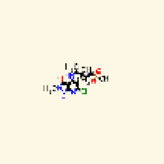 C[C@@H](Nc1cc(Cl)nc2[nH]n(C)c(=O)c12)C(C)(C)/C=C/S(C)(=O)=O